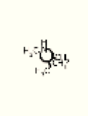 CCC1CC[C@H](C)NCCC1(C)C